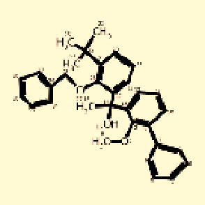 COc1c(-c2ccccc2)cccc1C(C)(O)c1cccc(C(C)(C)C)c1OCc1ccccc1